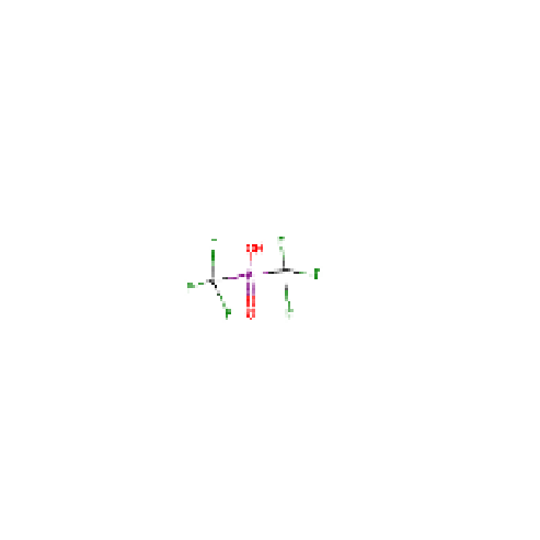 O=P(O)(C(F)(F)F)C(F)(F)F